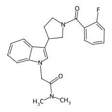 CN(C)C(=O)Cn1cc(C2CCN(C(=O)c3ccccc3F)C2)c2ccccc21